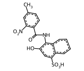 Cc1ccc(C(=O)Nc2c(O)cc(S(=O)(=O)O)c3ccccc23)c([N+](=O)[O-])c1